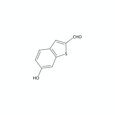 O=Cc1cc2ccc(O)cc2s1